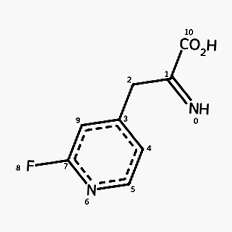 N=C(Cc1ccnc(F)c1)C(=O)O